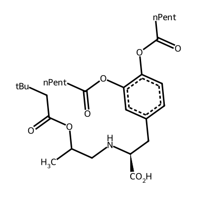 CCCCCC(=O)Oc1ccc(C[C@H](NCC(C)OC(=O)CC(C)(C)C)C(=O)O)cc1OC(=O)CCCCC